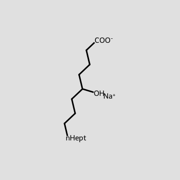 CCCCCCCCCCC(O)CCCC(=O)[O-].[Na+]